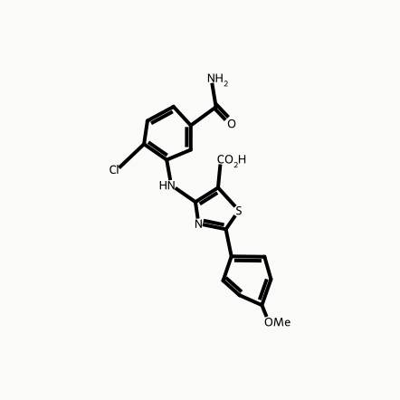 COc1ccc(-c2nc(Nc3cc(C(N)=O)ccc3Cl)c(C(=O)O)s2)cc1